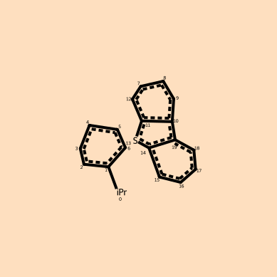 CC(C)c1ccccc1.c1ccc2c(c1)sc1ccccc12